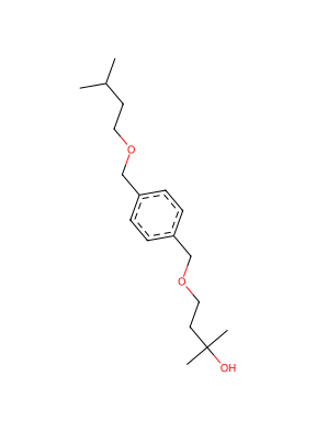 CC(C)CCOCc1ccc(COCCC(C)(C)O)cc1